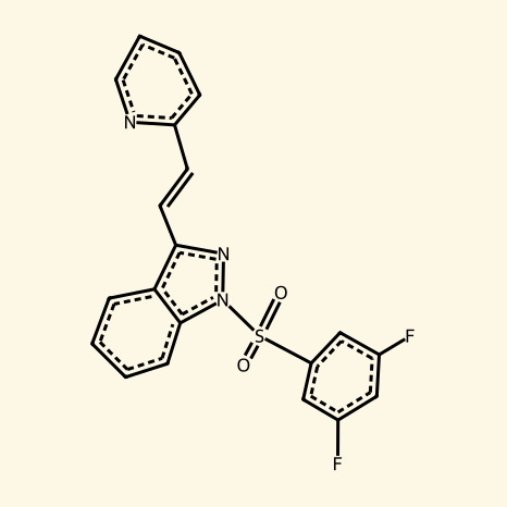 O=S(=O)(c1cc(F)cc(F)c1)n1nc(C=Cc2ccccn2)c2ccccc21